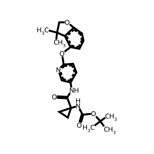 CC(C)(C)OC(=O)NC1(C(=O)Nc2ccc(Oc3cccc4c3C(C)(C)CO4)nc2)CC1